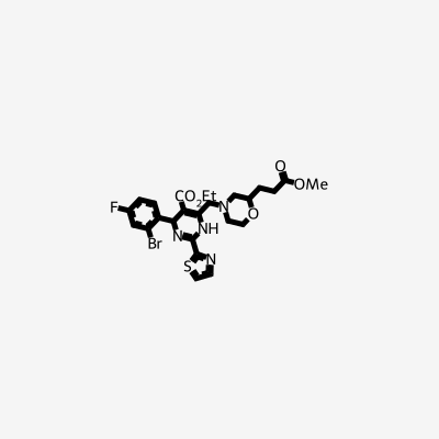 CCOC(=O)C1=C(CN2CCOC(CCC(=O)OC)C2)NC(c2nccs2)=NC1c1ccc(F)cc1Br